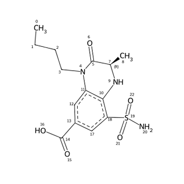 CCCCN1C(=O)[C@@H](C)Nc2c1cc(C(=O)O)cc2S(N)(=O)=O